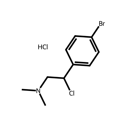 CN(C)CC(Cl)c1ccc(Br)cc1.Cl